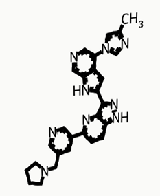 Cc1cn(-c2cncc3[nH]c(-c4n[nH]c5ccc(-c6cncc(CN7CCCC7)c6)nc45)cc23)cn1